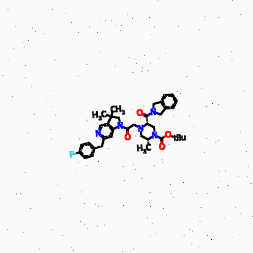 C[C@@H]1CN(CC(=O)N2CC(C)(C)c3cnc(Cc4ccc(F)cc4)cc32)[C@H](C(=O)N2Cc3ccccc3C2)CN1C(=O)OC(C)(C)C